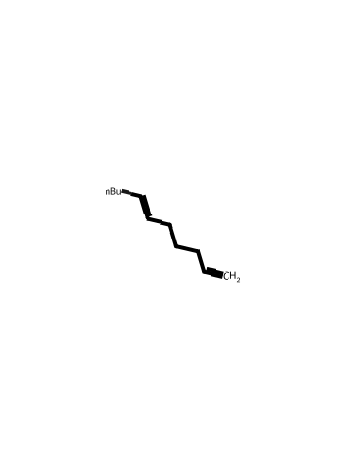 C=CCCCC=CCCCC